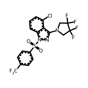 O=S(=O)(c1ccc(C(F)(F)F)cc1)n1nc(N2CC(F)(F)C(F)(F)C2)c2c(Cl)cccc21